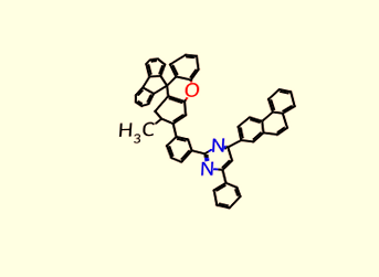 CC1CC2=C(C=C1c1cccc(-c3nc(-c4ccccc4)cc(-c4ccc5c(ccc6ccccc65)c4)n3)c1)Oc1ccccc1C21c2ccccc2-c2ccccc21